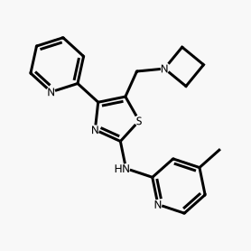 Cc1ccnc(Nc2nc(-c3ccccn3)c(CN3CCC3)s2)c1